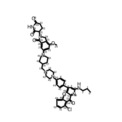 CCCNc1cc(-c2ccc(N3CCN(CC4CCN(c5cc(OC)c6c(c5)C(=O)N(C5CCC(=O)NC5=O)C6)CC4)CC3)cc2)c2oc3cccc(Cl)c3c(=O)c2n1